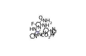 C/C(NC(=O)O)=C(\Nc1nc(Nc2cnc(C)c(-n3nccn3)c2)c(C(N)=O)cc1F)c1ccccn1